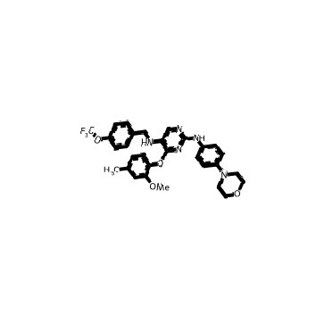 COc1cc(C)ccc1Oc1nc(Nc2ccc(N3CCOCC3)cc2)ncc1NCc1ccc(OC(F)(F)F)cc1